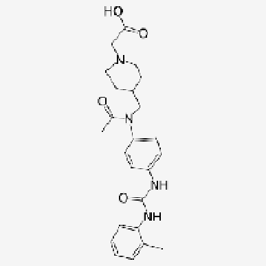 CC(=O)N(CC1CCN(CC(=O)O)CC1)c1ccc(NC(=O)Nc2ccccc2C)cc1